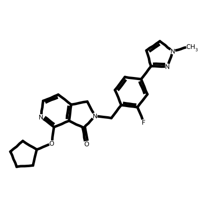 Cn1ccc(-c2ccc(CN3Cc4ccnc(OC5CCCC5)c4C3=O)c(F)c2)n1